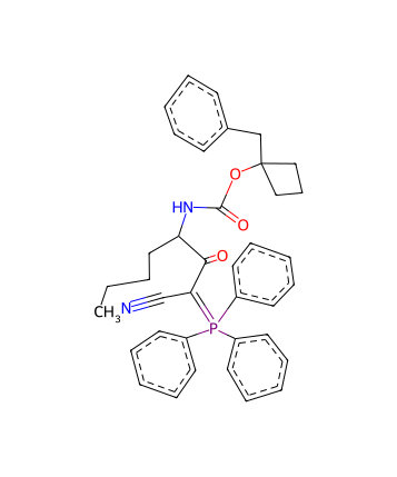 CCCCC(NC(=O)OC1(Cc2ccccc2)CCC1)C(=O)C(C#N)=P(c1ccccc1)(c1ccccc1)c1ccccc1